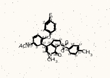 CC(=O)Nc1ccc(Oc2ccc(F)cc2)c(-c2cn(C)c(=O)c3c2ccn3S(=O)(=O)c2ccc(C)cc2)c1